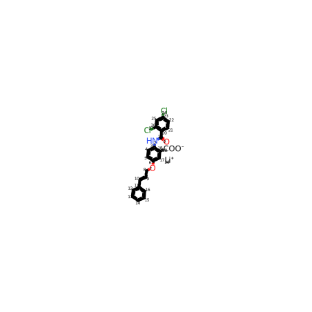 O=C(Nc1ccc(OCC=Cc2ccccc2)cc1C(=O)[O-])c1ccc(Cl)cc1Cl.[Li+]